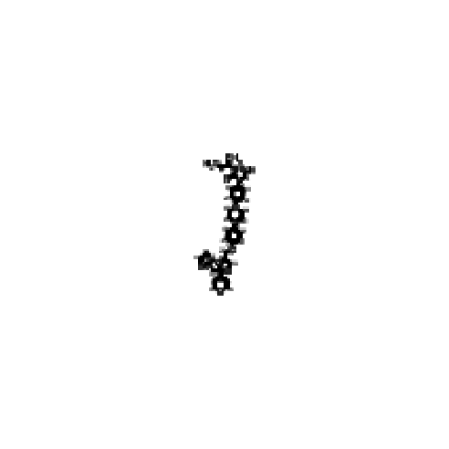 C=CC(C)NC(=O)N(C=N)c1ccc(N2CCN(c3ccc(OCC4COC(Cn5nccn5)(C5CCOCC5)O4)cc3)CC2)cc1